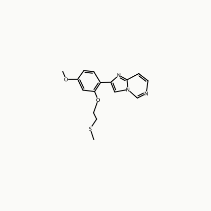 COc1ccc(-c2cn3cnccc3n2)c(OCCSC)c1